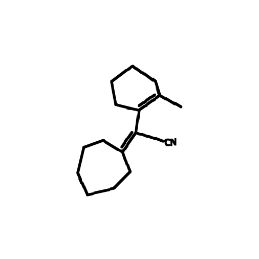 CC1=C(C(C#N)=C2CCCCCC2)CCCC1